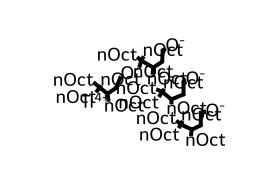 CCCCCCCCC(CC[O-])C(CCCCCCCC)(CCCCCCCC)CCCCCCCC.CCCCCCCCC(CC[O-])C(CCCCCCCC)(CCCCCCCC)CCCCCCCC.CCCCCCCCC(CC[O-])C(CCCCCCCC)(CCCCCCCC)CCCCCCCC.CCCCCCCCC(CC[O-])C(CCCCCCCC)(CCCCCCCC)CCCCCCCC.[Ti+4]